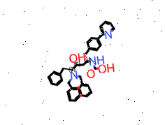 O=C(O)N[C@@H](Cc1ccc(-c2ccccn2)cc1)C[C@H](O)[C@H](Cc1ccccc1)N(Cc1ccccc1)Cc1ccccc1